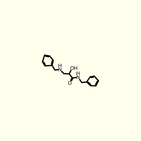 O=C(NCc1ccccc1)C(O)CNCc1ccccc1